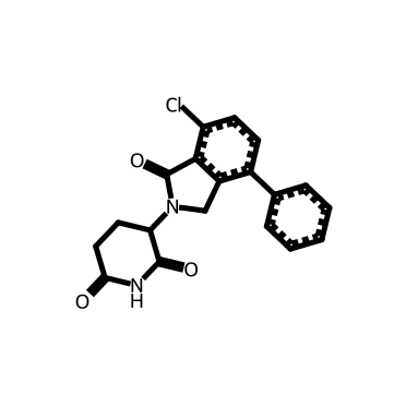 O=C1CCC(N2Cc3c(-c4ccccc4)ccc(Cl)c3C2=O)C(=O)N1